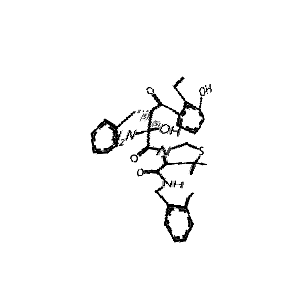 CCc1c(O)cccc1C(=O)[C@@H](Cc1ccccc1)[C@](N)(O)C(=O)N1CSC(C)(C)C1C(=O)NCc1ccccc1C